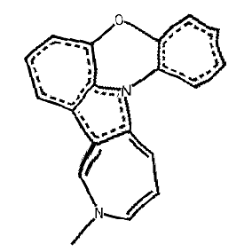 CN1C=CC=c2c(c3cccc4c3n2-c2ccccc2O4)=C1